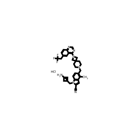 Cc1c(CN2CCC3(CC2)CN(c2ncnc4ccc(CC(F)(F)F)cc24)C3)ccc2c1cc(C#N)n2CC12CC(N)(C1)C2.Cl